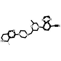 CC1CN(c2ccc(C#N)c3nccnc23)CC(CN2CCN(c3cc4c(cn3)CCN[C@H]4C)CC2)O1